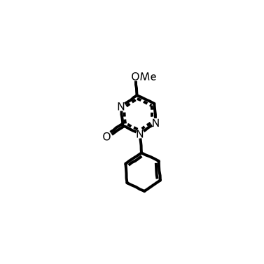 COc1cnn(C2=CCCC=C2)c(=O)n1